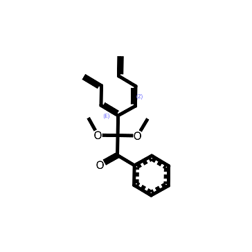 C=C/C=C\C(=C/C=C)C(OC)(OC)C(=O)c1ccccc1